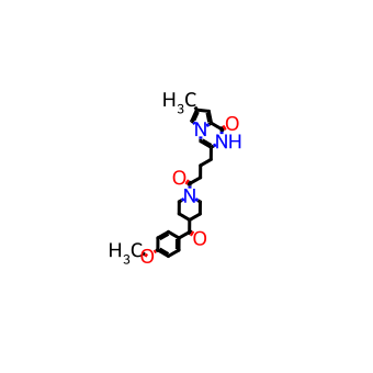 COc1ccc(C(=O)C2CCN(C(=O)CCCc3cn4cc(C)cc4c(=O)[nH]3)CC2)cc1